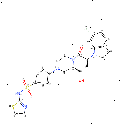 C[C@@H](C(=O)N1CCN(c2ccc(S(=O)(=O)Nc3nccs3)cc2)C[C@@H]1CO)n1ccc2ccc(Cl)cc21